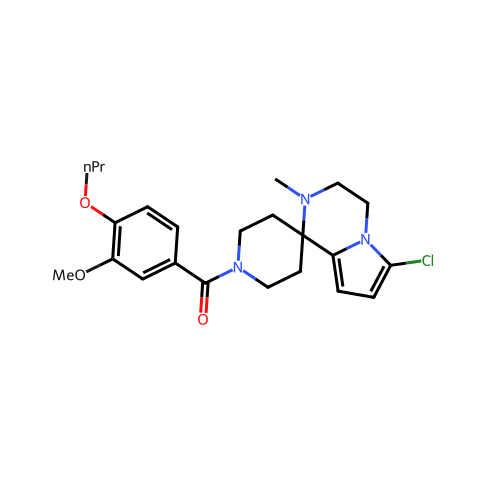 CCCOc1ccc(C(=O)N2CCC3(CC2)c2ccc(Cl)n2CCN3C)cc1OC